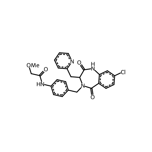 COCC(=O)Nc1ccc(CN2C(=O)c3ccc(Cl)cc3NC(=O)C2Cc2ccccn2)cc1